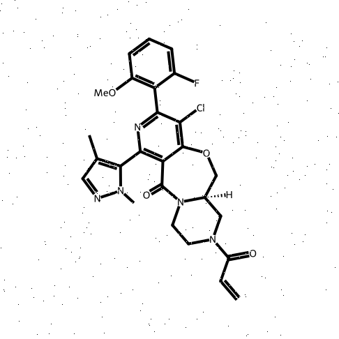 C=CC(=O)N1CCN2C(=O)c3c(-c4c(C)cnn4C)nc(-c4c(F)cccc4OC)c(Cl)c3OC[C@H]2C1